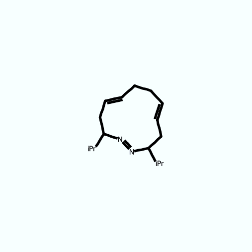 CC(C)C1C/C=C/CC/C=C/CC(C(C)C)/N=N/1